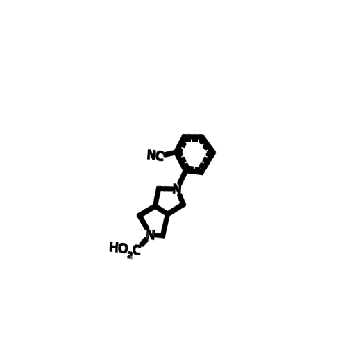 N#Cc1ccccc1N1CC2CN(C(=O)O)CC2C1